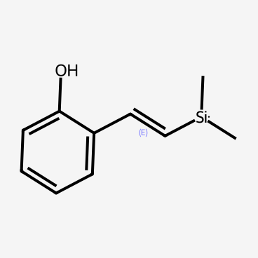 C[Si](C)/C=C/c1ccccc1O